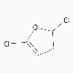 ClC1=CCC(Cl)O1